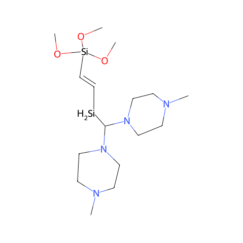 CO[Si](C=C[SiH2]C(N1CCN(C)CC1)N1CCN(C)CC1)(OC)OC